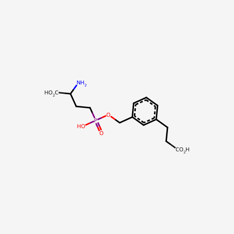 NC(CCP(=O)(O)OCc1cccc(CCC(=O)O)c1)C(=O)O